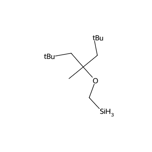 CC(C)(C)CC(C)(CC(C)(C)C)OC[SiH3]